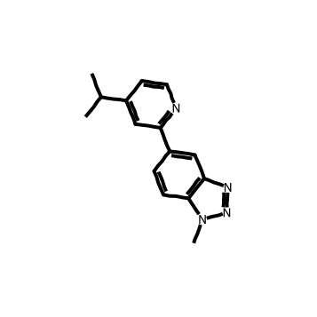 CC(C)c1ccnc(-c2ccc3c(c2)nnn3C)c1